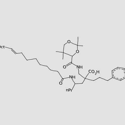 CCCCCCCCC=CCCCCCCCC(=O)NC(CCC)CC(CCCc1ccccc1)(CNC(=O)C1OC(C)(C)OCC1(C)C)C(=O)O